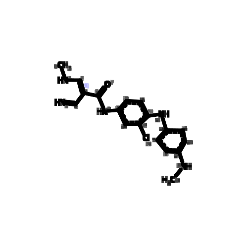 CN/C=C(\C=N)C(=O)Nc1ccc(Nc2ccc(NC)cc2)c(Cl)c1